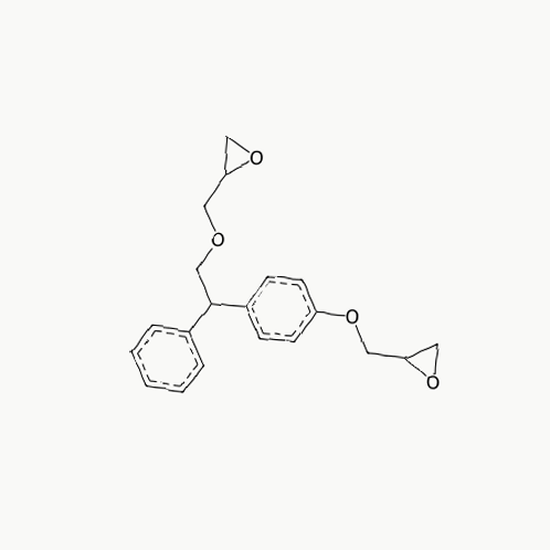 c1ccc(C(COCC2CO2)c2ccc(OCC3CO3)cc2)cc1